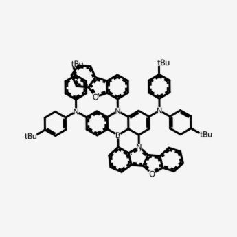 CC(C)(C)C1=CC=C(N(c2ccc(C(C)(C)C)cc2)c2ccc3c(c2)N(c2cccc4c2oc2ccccc24)C2=CC(N(C4=CCC(C(C)(C)C)C=C4)c4ccc(C(C)(C)C)cc4)=CC4C2B3c2cccc3c5oc6ccccc6c5n4c23)CC1